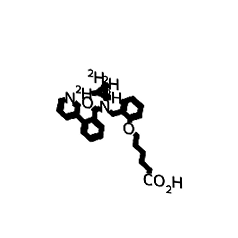 [2H]C1C([2H])([2H])C1([2H])N(Cc1ccccc1OCCCCCC(=O)O)C(=O)c1ccccc1-c1cccnc1